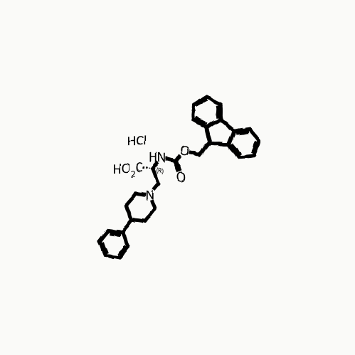 Cl.O=C(N[C@H](CN1CCC(c2ccccc2)CC1)C(=O)O)OCC1c2ccccc2-c2ccccc21